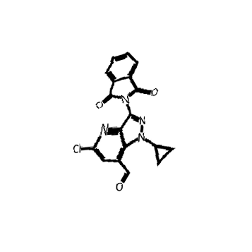 O=Cc1cc(Cl)nc2c(N3C(=O)c4ccccc4C3=O)nn(C3CC3)c12